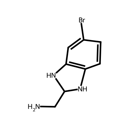 NCC1Nc2ccc(Br)cc2N1